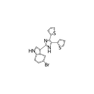 Brc1ccc2[nH]cc(-c3nc(-c4cccs4)c(-c4cccs4)[nH]3)c2c1